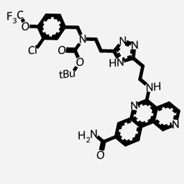 CC(C)(C)OC(=O)N(CCc1nnc(CCNc2nc3cc(C(N)=O)ccc3c3cnccc23)[nH]1)Cc1ccc(OC(F)(F)F)c(Cl)c1